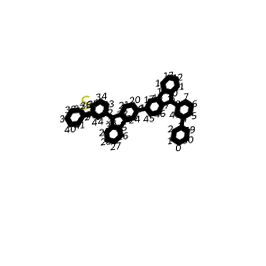 c1ccc(-c2cccc(C3c4ccccc4-c4cc(-c5ccc6c(c5)-c5ccccc5C6c5ccc6sc7ccccc7c6c5)ccc43)c2)cc1